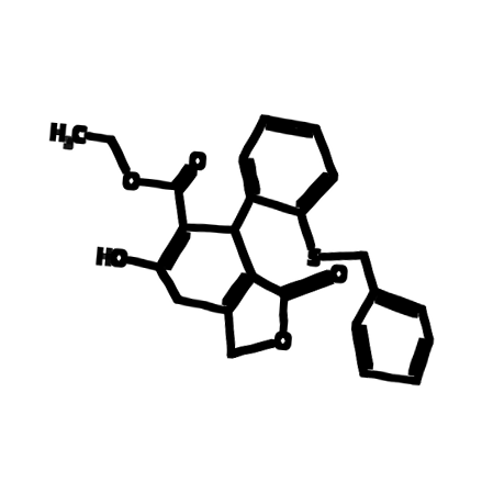 CCOC(=O)C1=C(O)CC2=C(C(=O)OC2)C1c1ccccc1SCc1ccccc1